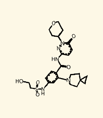 O=C(Nc1ccc(=O)n(C2CCOCC2)n1)c1ccc(NS(=O)(=O)CCO)cc1N1CCC2(CC1)CC2